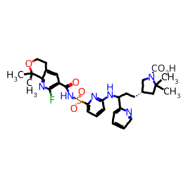 CC1(C)OCCc2cc(C(=O)NS(=O)(=O)c3cccc(NC(CC[C@@H]4CN(C(=O)O)C(C)(C)C4)c4ccccn4)n3)c(F)nc21